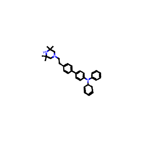 CC1(C)CN(CCc2ccc(-c3ccc(N(c4ccccc4)C4C=CC=CC4)cc3)cc2)CC(C)(C)N1